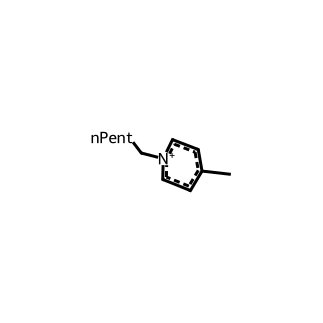 CCCCCC[n+]1ccc(C)cc1